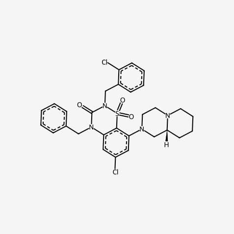 O=C1N(Cc2ccccc2)c2cc(Cl)cc(N3CCN4CCCC[C@@H]4C3)c2S(=O)(=O)N1Cc1ccccc1Cl